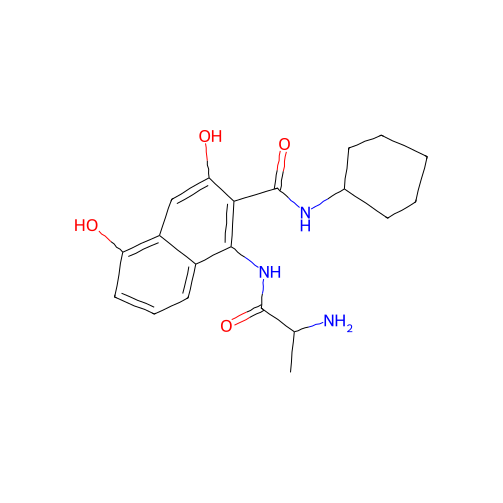 CC(N)C(=O)Nc1c(C(=O)NC2CCCCC2)c(O)cc2c(O)cccc12